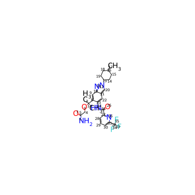 CC(C)(OCC(N)=O)c1cc2nn([C@H]3CC[C@H](C)CC3)cc2cc1NC(=O)c1cccc(C(F)(F)F)n1